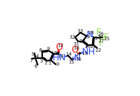 Cc1cc(C(C)(C)C)ccc1C(=O)NC/C=N\C(=O)Nc1c(C)c(C(F)(F)F)nc2c1CCC2